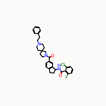 O=C(NC1CCc2ccc(C(=O)N3CCC4(CCN(CCc5ccccc5)CC4)C3)cc21)c1c(F)cccc1Cl